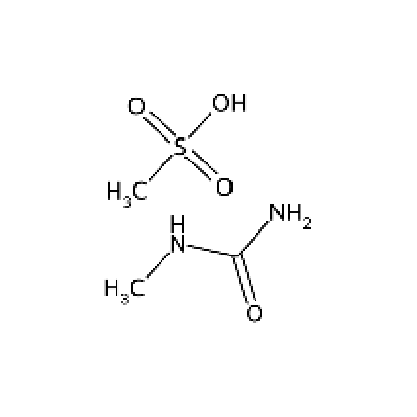 CNC(N)=O.CS(=O)(=O)O